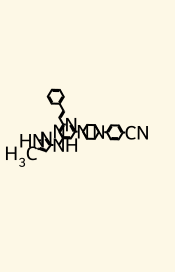 Cc1cc(Nc2cc(N3CCN(c4ccc(C#N)cc4)CC3)nc(C=Cc3ccccc3)n2)n[nH]1